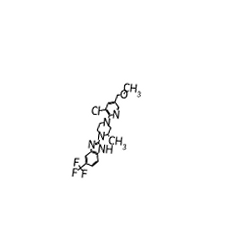 COCc1cnc(N2CCN(c3nc4cc(C(F)(F)F)ccc4[nH]3)[C@H](C)C2)c(Cl)c1